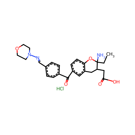 CCC1(N)Oc2ccc(C(=O)c3ccc(C=NN4CCOCC4)cc3)cc2CC1CC(=O)O.Cl